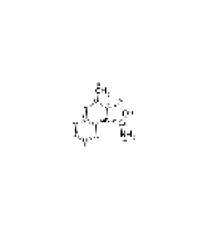 CC(Cc1ccccc1)C1COC(N)=N1